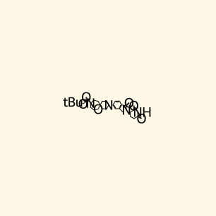 CC(C)(C)OC(=O)N1CCOC2(CC1)CCN(c1ccc3c(c1)CN(C1CCC(=O)NC1=O)C3=O)CC2